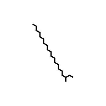 CCCCCCCCCCCCCCCCC[C](C)CC